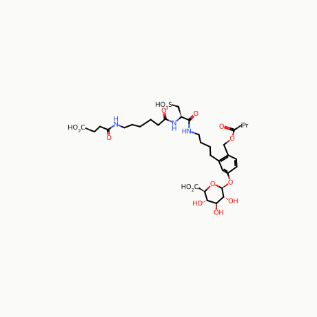 CC(C)C(=O)OCc1ccc(O[C@@H]2O[C@H](C(=O)O)[C@@H](O)[C@H](O)[C@H]2O)cc1CCCCNC(=O)[C@H](CS(=O)(=O)O)NC(=O)CCCCCNC(=O)CCC(=O)O